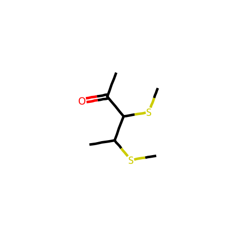 CSC(C)C(SC)C(C)=O